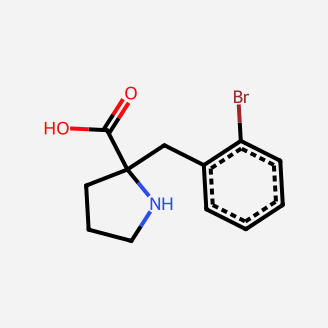 O=C(O)C1(Cc2ccccc2Br)CCCN1